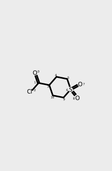 O=C(Cl)C1CCS(=O)(=O)CC1